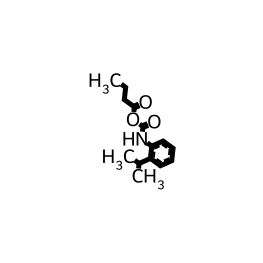 CCCC(=O)OC(=O)Nc1ccccc1C(C)C